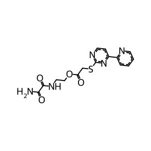 NC(=O)C(=O)NCCOC(=O)CSc1nccc(-c2ccccn2)n1